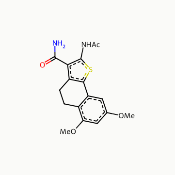 COc1cc(OC)c2c(c1)-c1sc(NC(C)=O)c(C(N)=O)c1CC2